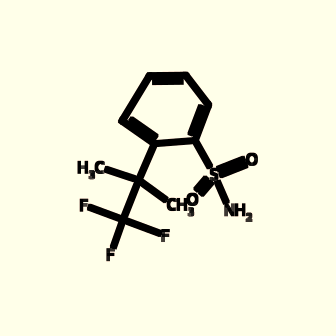 CC(C)(c1ccccc1S(N)(=O)=O)C(F)(F)F